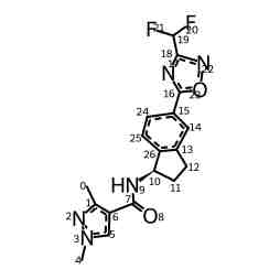 Cc1nn(C)cc1C(=O)N[C@@H]1CCc2cc(-c3nc(C(F)F)no3)ccc21